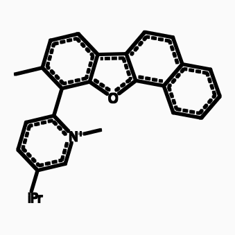 Cc1ccc2c(oc3c4ccccc4ccc23)c1-c1ccc(C(C)C)c[n+]1C